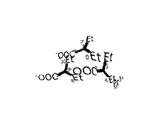 CCC(CC)C(=O)[O-].CCC(CC)C(=O)[O-].CCC(CC)C(=O)[O-].[Pr+3]